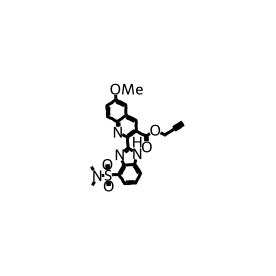 C#CCOC(=O)c1cc2cc(OC)ccc2nc1-c1nc2c(S(=O)(=O)N(C)C)cccc2[nH]1